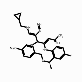 COc1ccc(CO[C@H](C)c2cc(F)ccc2N/C(=C\C(=N)C(F)(F)F)C(O)/C(=C/NCC2CC2)N=N)cc1